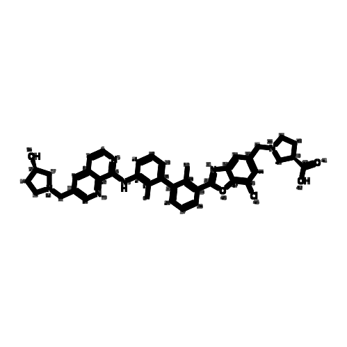 Cc1c(Nc2nccc3cc(CN4CC[C@@H](O)C4)cnc23)cccc1-c1cccc(-c2nc3cc(CN4CC[C@@H](C(=O)O)C4)cc(Cl)c3o2)c1C